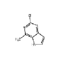 Cc1nc(Cl)nc2cc[nH]c12